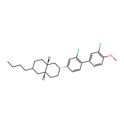 CCCCC1CC[C@@H]2C[C@H](c3ccc(-c4ccc(OC)c(F)c4)c(F)c3)CC[C@@H]2C1